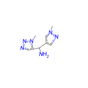 Cn1cc(C(N)c2cnnn2C)cn1